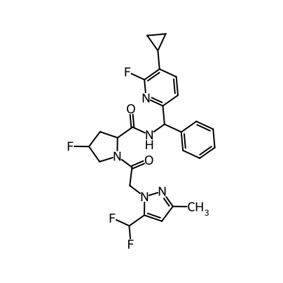 Cc1cc(C(F)F)n(CC(=O)N2CC(F)CC2C(=O)NC(c2ccccc2)c2ccc(C3CC3)c(F)n2)n1